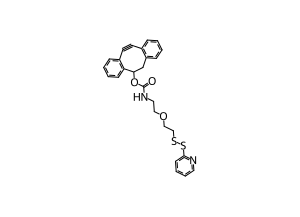 O=C(NCCOCCSSc1ccccn1)OC1Cc2ccccc2C#Cc2ccccc21